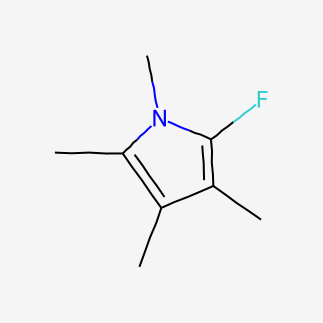 Cc1c(C)c(F)n(C)c1C